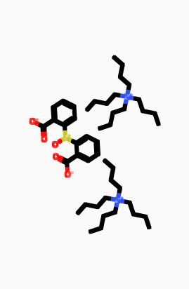 CCCC[N+](CCCC)(CCCC)CCCC.CCCC[N+](CCCC)(CCCC)CCCC.O=C([O-])c1ccccc1[S+]([O-])c1ccccc1C(=O)[O-]